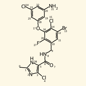 Cc1nc(Cl)c(C(=O)NCc2cc(Br)c(Cl)c(Oc3cc(N)cc(Cl)c3)c2F)[nH]1